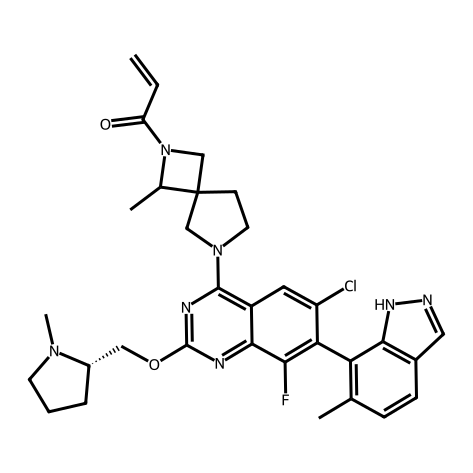 C=CC(=O)N1CC2(CCN(c3nc(OC[C@@H]4CCCN4C)nc4c(F)c(-c5c(C)ccc6cn[nH]c56)c(Cl)cc34)C2)C1C